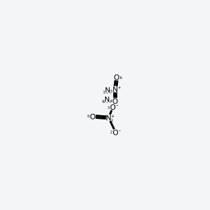 O=[N+]([O-])[O-].O=[N+]=O.[N].[N]